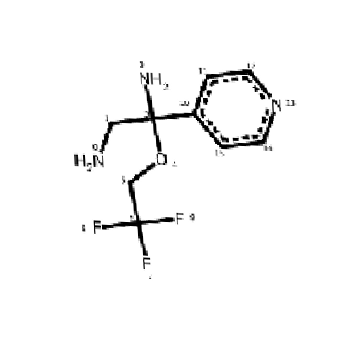 NCC(N)(OCC(F)(F)F)c1ccncc1